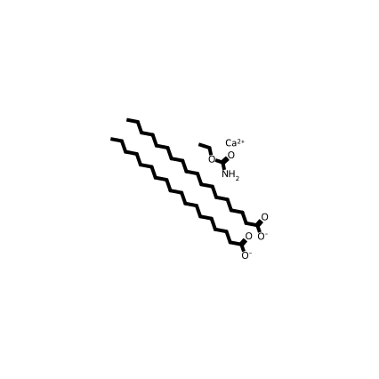 CCCCCCCCCCCCCCCCCC(=O)[O-].CCCCCCCCCCCCCCCCCC(=O)[O-].CCOC(N)=O.[Ca+2]